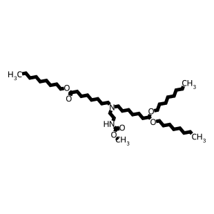 CCCCCCCCCOC(=O)CCCCCCCN(CCCCCCC(OCCCCCCCC)OCCCCCCCC)CCNC(=O)OC